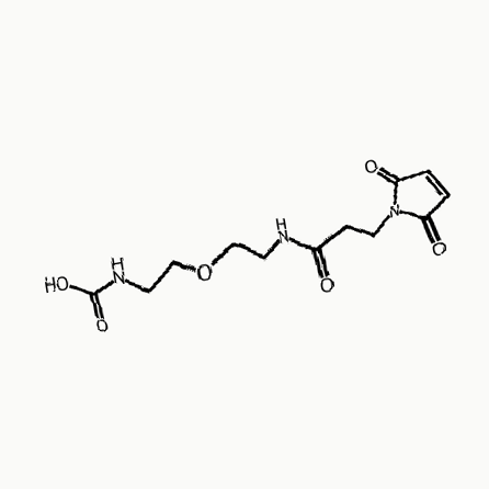 O=C(O)NCCOCCNC(=O)CCN1C(=O)C=CC1=O